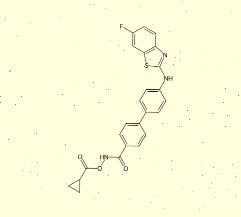 O=C(NOC(=O)C1CC1)c1ccc(-c2ccc(Nc3nc4ccc(F)cc4s3)cc2)cc1